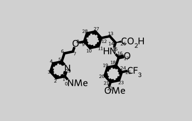 CNc1cccc(CCOc2ccc(C[C@H](NC(=O)c3ccc(OC)cc3C(F)(F)F)C(=O)O)cc2)n1